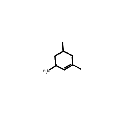 CC1=CC(N)CC(C)C1